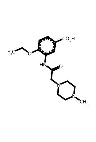 CN1CCN(CC(=O)Nc2cc(C(=O)O)ccc2OCC(F)(F)F)CC1